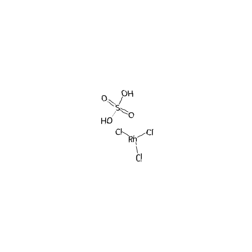 O=S(=O)(O)O.[Cl][Rh]([Cl])[Cl]